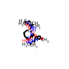 COc1ccc2c(O[C@@H]3C[C@H]4C(=O)N[C@]5(C(=O)O)CC5/C=C\CCCCC[C@H](NC(=O)NC(CN5CCCN(C(C)C)S5(=O)=O)C(C)(C)C)C(=O)N4C3)cc(-c3csc(NC(C)C)n3)nc2c1